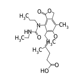 CCCN(C(=O)NCC)c1c(C/C=C(\C)CCC(=O)O)c(OC)c(C)c2c1C(=O)OC2